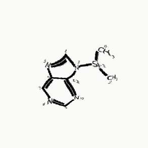 C[Si](C)n1cnc2cncnc21